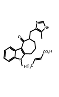 Cc1[nH]cnc1CC1CCCc2c(c3ccccc3n2C)C1=O.O=C(O)C=CC(=O)O